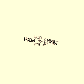 CC(C)(CN=[N+]=[N-])C1CCC(O)CC1